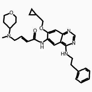 CN(CC=CC(=O)Nc1cc2c(NCCc3ccccc3)ncnc2cc1OCC1CC1)C1CCOCC1